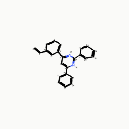 C=Cc1cccc(-c2cc(-c3ccccc3)nc(-c3ccccc3)n2)c1